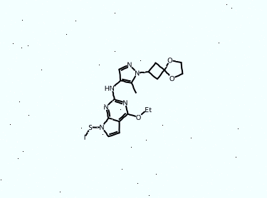 CCOc1nc(Nc2cnn(C3CC4(C3)OCCO4)c2C)nc2c1ccn2SI